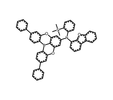 C[Si](C)(C)c1ccccc1N(c1cc2c3c(c1)Oc1cc(-c4ccccc4)ccc1B3c1ccc(-c3ccccc3)cc1O2)c1cccc2c1oc1ccccc12